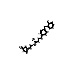 Cc1ccccc1Cc1ccc(CCCC(=O)NCCN2CCC(=O)C2)cc1